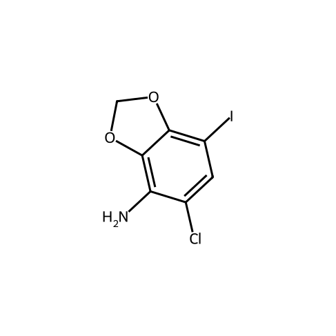 Nc1c(Cl)cc(I)c2c1OCO2